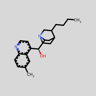 CCCCC1CN2CCC1CC2[C@@H](O)c1ccnc2ccc(C)cc12